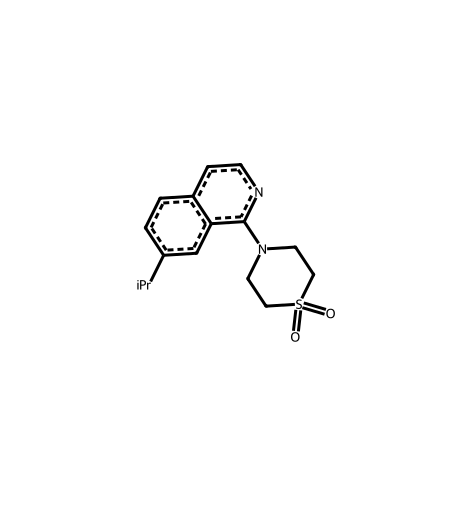 CC(C)c1ccc2ccnc(N3CCS(=O)(=O)CC3)c2c1